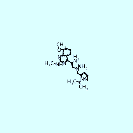 CNc1nc(/C(N)=C/N(N)Cc2ccnn2C(C)C)c2cccc(OC)c2n1